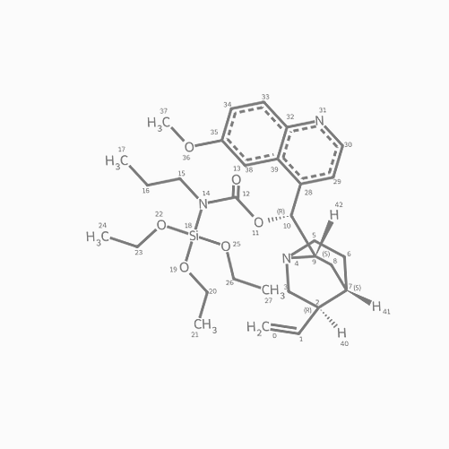 C=C[C@H]1CN2CC[C@H]1C[C@H]2[C@H](OC(=O)N(CCC)[Si](OCC)(OCC)OCC)c1ccnc2ccc(OC)cc12